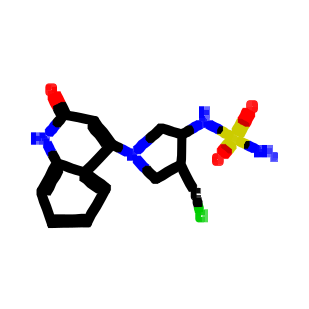 NS(=O)(=O)NC1CN(c2cc(=O)[nH]c3ccccc23)CC1CCl